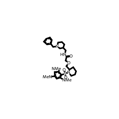 CNc1cc(NC)c(S(=O)(=O)N2CCCCC2COCC(=O)NCC2CCCN(Cc3ccccc3)C2)c(NC)c1